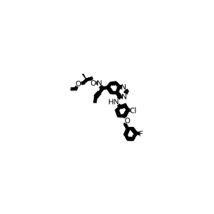 CC#C/C(=N\OC[C@H](C)COCC)c1ccc2ncnc(Nc3ccc(OCc4cccc(F)c4)c(Cl)c3)c2c1